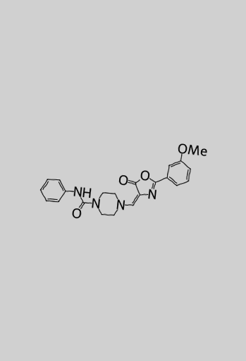 COc1cccc(C2=NC(=CN3CCN(C(=O)Nc4ccccc4)CC3)C(=O)O2)c1